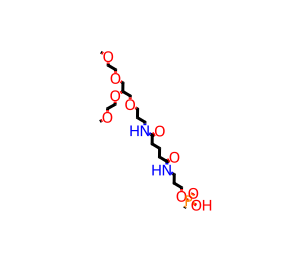 COCCOCC(COCCCNC(=O)CCCC(=O)NCCCOP(C)(=O)O)OCCOC